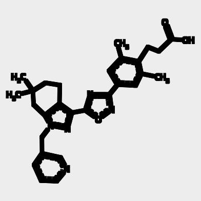 Cc1cc(-c2noc(-c3nn(Cc4cccnc4)c4c3CCC(C)(C)C4)n2)cc(C)c1CCC(=O)O